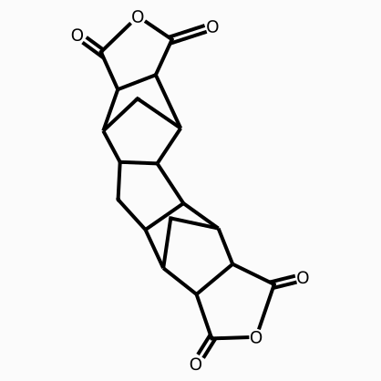 O=C1OC(=O)C2C3CC(C4CC5C6CC(C7C(=O)OC(=O)C67)C5C43)C12